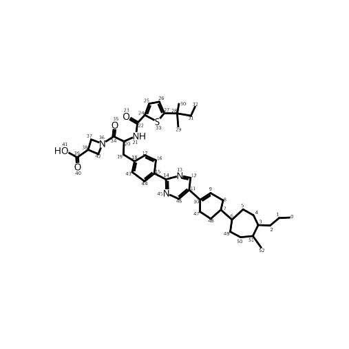 CCCC1CCC(C2CC=C(c3cnc(-c4ccc(CC(NC(=O)c5ccc(C(C)(C)CC)s5)C(=O)N5CC(C(=O)O)C5)cc4)nc3)CC2)CCC1C